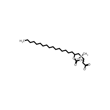 CCCCCCCCCCCCCCCCC(C[N+](C)(C)CCC(=O)[O-])OC(C)=O